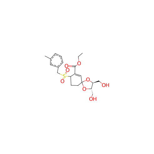 CCOC(=O)C1=CC2(CCC1S(=O)(=O)Cc1cccc(C)c1)O[C@@H](CO)[C@H](CO)O2